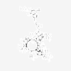 CC[C@@H]1OC(=O)[C@H](C)[C@H](O[C@@H]2C[C@](C)(OC)[C@H](OC(=O)CCNCCCc3ccc4c(c3)c(=O)c(C(=O)O)cn4C3CC3)[C@H](C)O2)[C@@H](C)[C@H](O[C@@H]2O[C@H](C)C[C@H](N(C)C)[C@@H]2O)[C@](C)(O)C[C@H](C)CN(C)[C@H](C)[C@H]2OC(=O)O[C@]12C